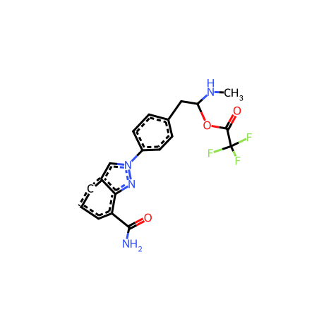 CNC(Cc1ccc(-n2cc3cccc(C(N)=O)c3n2)cc1)OC(=O)C(F)(F)F